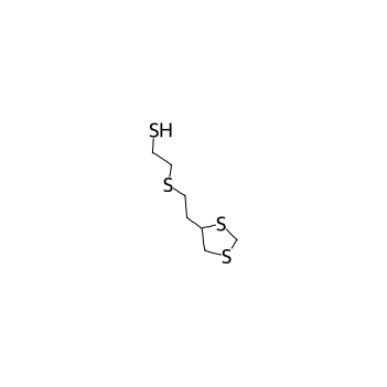 SCCSCCC1CSCS1